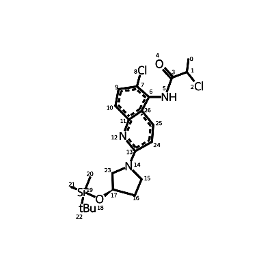 CC(Cl)C(=O)Nc1c(Cl)ccc2nc(N3CC[C@@H](O[Si](C)(C)C(C)(C)C)C3)ccc12